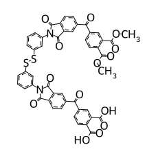 COC(=O)c1ccc(C(=O)c2ccc3c(c2)C(=O)N(c2cccc(SSc4cccc(N5C(=O)c6ccc(C(=O)c7ccc(C(=O)O)c(C(=O)O)c7)cc6C5=O)c4)c2)C3=O)cc1C(=O)OC